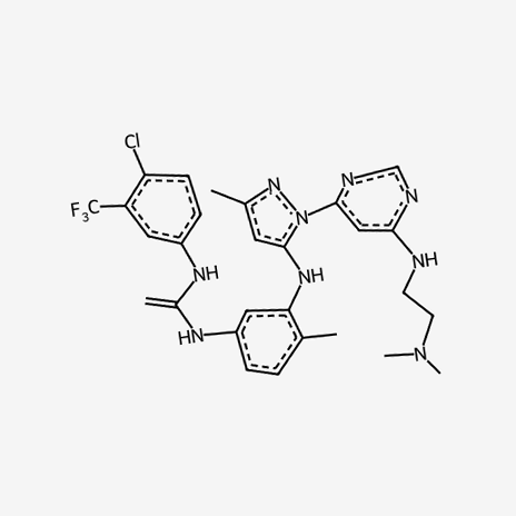 C=C(Nc1ccc(C)c(Nc2cc(C)nn2-c2cc(NCCN(C)C)ncn2)c1)Nc1ccc(Cl)c(C(F)(F)F)c1